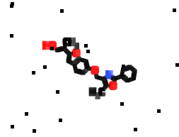 CC(=CO)c1cc2ccc(OCc3nc(-c4ccccc4)oc3C)cc2o1